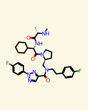 CN[C@@H](C)C(=O)N[C@H](C(=O)N1CCC[C@H]1CN(CCc1ccc(F)cc1)C(=O)c1cnn(-c2ccc(F)cc2)n1)C1CCCCC1